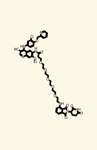 CCOc1cc2ncc(C#N)c(Nc3ccc(OCc4ccccn4)c(Cl)c3)c2cc1NC(=O)CCOCCOCCOCCOCCOCCNc1cccc2c1C(=O)N(C1CCC(=O)NC1=O)C2=O